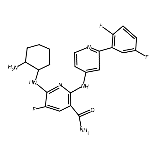 NC(=O)c1cc(F)c(NC2CCCCC2N)nc1Nc1ccnc(-c2cc(F)ccc2F)c1